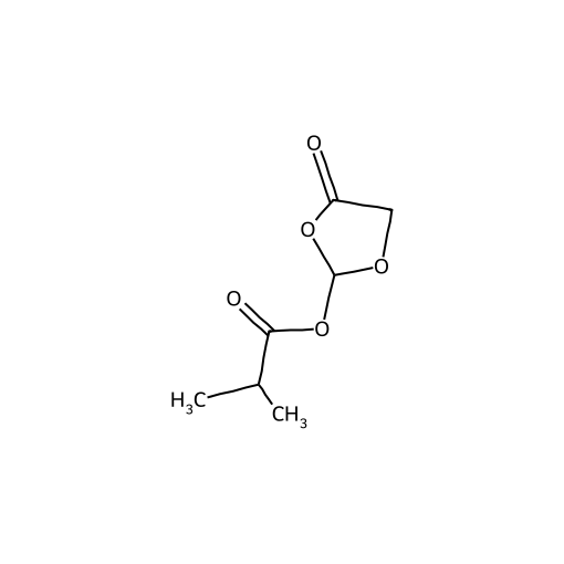 CC(C)C(=O)OC1OCC(=O)O1